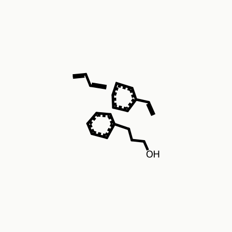 C=CC=C.C=Cc1ccccc1.OCCCc1ccccc1